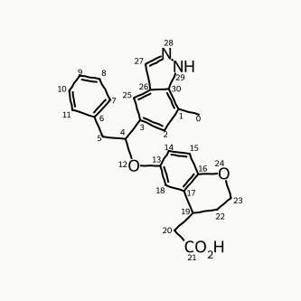 Cc1cc(C(Cc2ccccc2)Oc2ccc3c(c2)C(CC(=O)O)CCO3)cc2cn[nH]c12